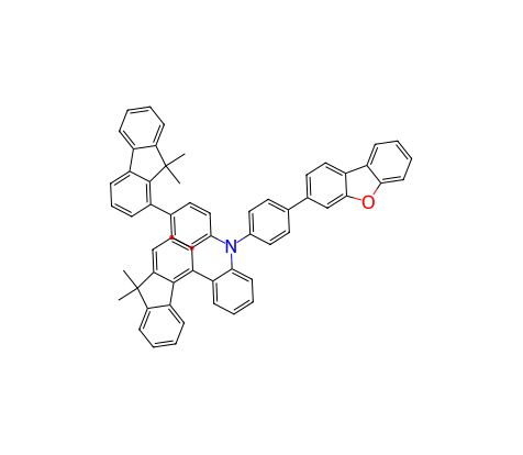 CC1(C)c2ccccc2-c2c(-c3ccccc3N(c3ccc(-c4ccc5c(c4)oc4ccccc45)cc3)c3ccc(-c4cccc5c4C(C)(C)c4ccccc4-5)cc3)cccc21